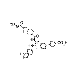 CC(C)(C)OC(=O)NC[C@H]1CC[C@H](C(=O)N[C@@H](Cc2cccc(-c3ccc(C(=O)O)cc3)c2)C(=O)Nc2ccc3cn[nH]c3c2)CC1